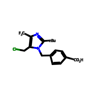 CCCCc1nc(C(F)(F)F)c(CCl)n1Cc1ccc(C(=O)O)cc1